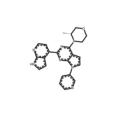 C[C@@H]1COCCN1c1nc(-c2ccnc3[nH]ccc23)nc2c1ccn2-c1cccnc1